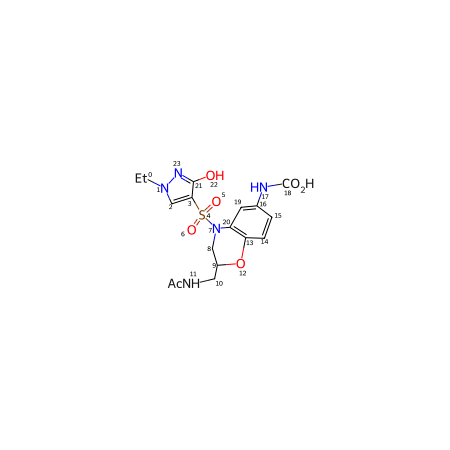 CCn1cc(S(=O)(=O)N2CC(CNC(C)=O)Oc3ccc(NC(=O)O)cc32)c(O)n1